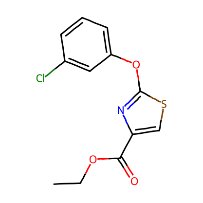 CCOC(=O)c1csc(Oc2cccc(Cl)c2)n1